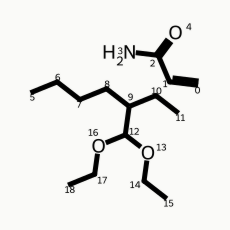 C=CC(N)=O.CCCCC(CC)C(OCC)OCC